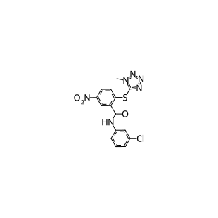 Cn1nnnc1Sc1ccc([N+](=O)[O-])cc1C(=O)Nc1cccc(Cl)c1